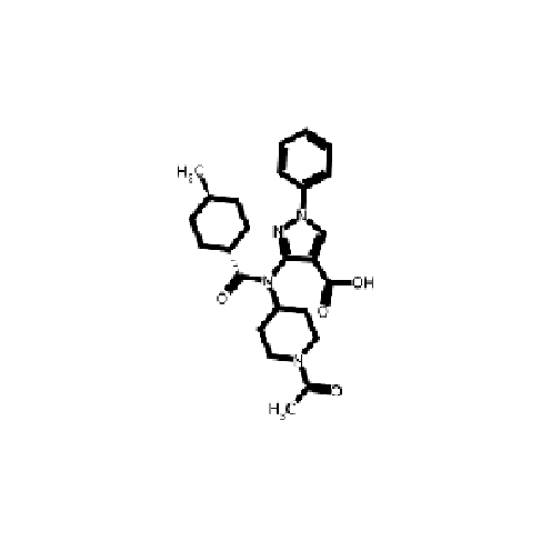 CC(=O)N1CCC(N(c2nn(-c3ccccc3)cc2C(=O)O)C(=O)[C@H]2CC[C@H](C)CC2)CC1